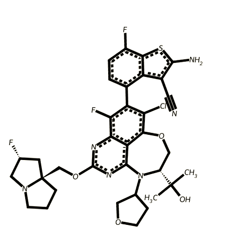 CC(C)(O)[C@H]1COc2c(Cl)c(-c3ccc(F)c4sc(N)c(C#N)c34)c(F)c3nc(OC[C@@]45CCCN4C[C@H](F)C5)nc(c23)N1C1CCOC1